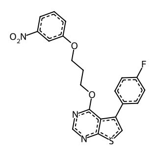 O=[N+]([O-])c1cccc(OCCCOc2ncnc3scc(-c4ccc(F)cc4)c23)c1